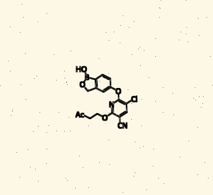 CC(=O)CCOc1nc(Oc2ccc3c(c2)COB3O)c(Cl)cc1C#N